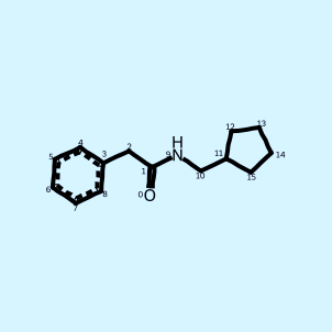 O=C(Cc1ccccc1)NCC1CCCC1